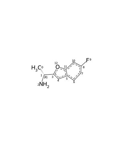 C[C@@H](N)c1cc2ccc(F)cc2o1